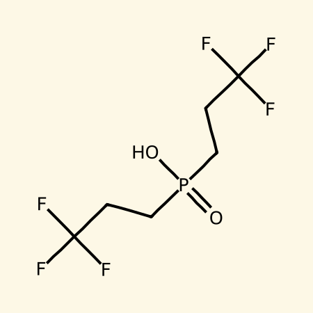 O=P(O)(CCC(F)(F)F)CCC(F)(F)F